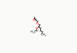 CCCCC(COCC1CO1)OCC